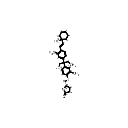 CCC(CC)(c1ccc(/C=C/C2(O)CCCCC2)c(C)c1)c1ccc(OC[C@@H]2CCC(=O)O2)c(C)c1